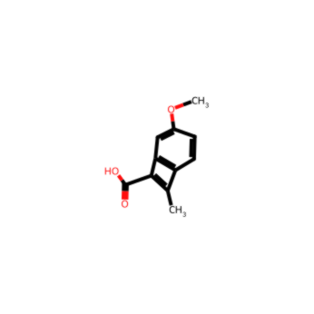 COc1ccc2c(c1)C(C(=O)O)=C2C